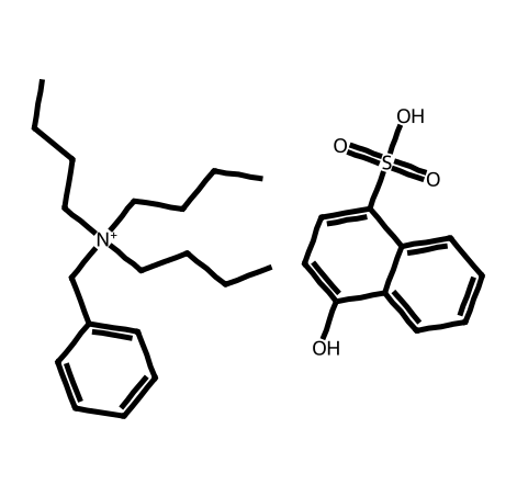 CCCC[N+](CCCC)(CCCC)Cc1ccccc1.O=S(=O)(O)c1ccc(O)c2ccccc12